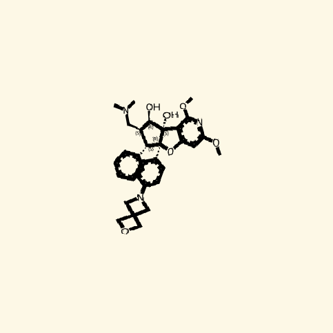 COc1cc2c(c(OC)n1)[C@]1(O)[C@H](O)[C@H](CN(C)C)[C@@H](c3ccccc3)[C@]1(c1ccc(N3CC4(COC4)C3)cc1)O2